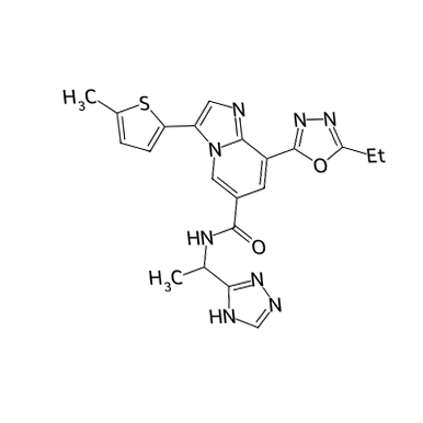 CCc1nnc(-c2cc(C(=O)NC(C)c3nnc[nH]3)cn3c(-c4ccc(C)s4)cnc23)o1